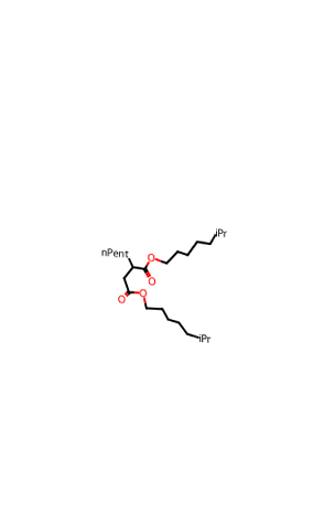 CCCCCC(CC(=O)OCCCCCC(C)C)C(=O)OCCCCCC(C)C